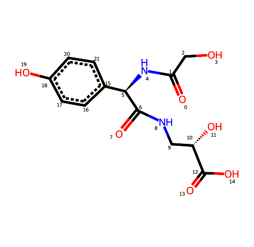 O=C(CO)N[C@@H](C(=O)NC[C@H](O)C(=O)O)c1ccc(O)cc1